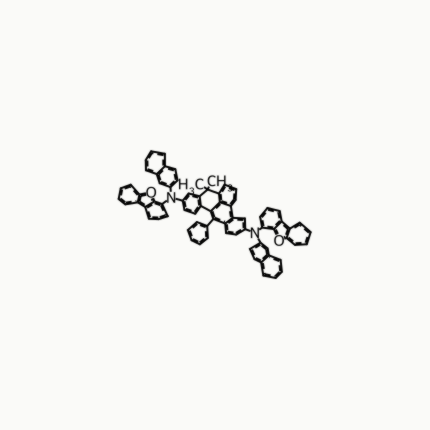 CC1(C)c2cc(N(c3ccc4ccccc4c3)c3cccc4c3oc3ccccc34)ccc2-c2c(-c3ccccc3)c3ccc(N(c4ccc5ccccc5c4)c4cccc5c4oc4ccccc45)cc3c3cccc1c23